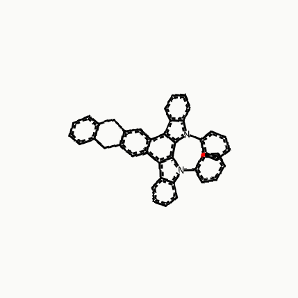 c1ccc(-n2c3ccccc3c3c4cc5c(cc4c4c6ccccc6n(-c6ccccc6)c4c32)Cc2ccccc2C5)cc1